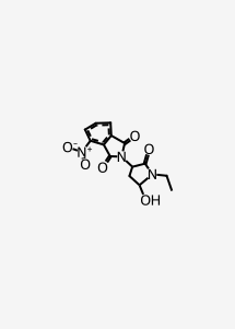 CCN1C(=O)C(N2C(=O)c3cccc([N+](=O)[O-])c3C2=O)CC1O